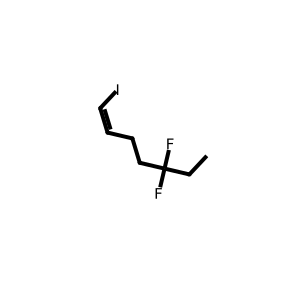 CCC(F)(F)CC/C=C\I